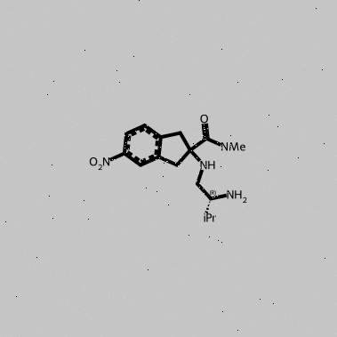 CNC(=O)C1(NC[C@H](N)C(C)C)Cc2ccc([N+](=O)[O-])cc2C1